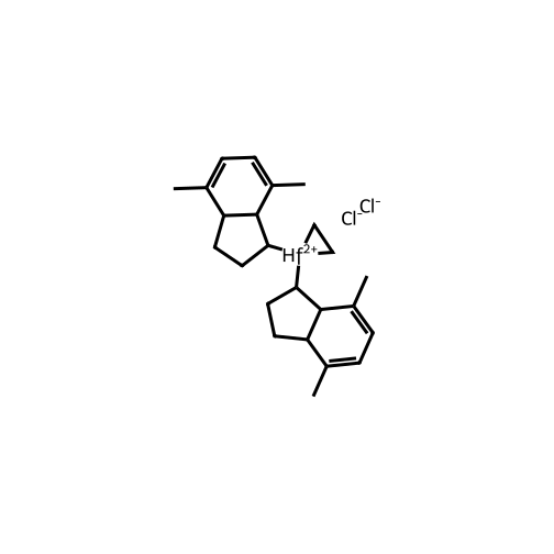 CC1=CC=C(C)C2C1CC[CH]2[Hf+2]1([CH]2CCC3C(C)=CC=C(C)C32)[CH2][CH2]1.[Cl-].[Cl-]